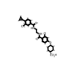 O=C(NCCNC(=O)c1ccc(O[C@H]2CC[C@@H](C(=O)O)CC2)cc1Cl)c1ccc(C2CC2)c(Cl)c1